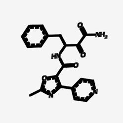 Cc1nc(-c2ccncc2)c(C(=O)NC(Cc2ccccc2)C(=O)C(N)=O)o1